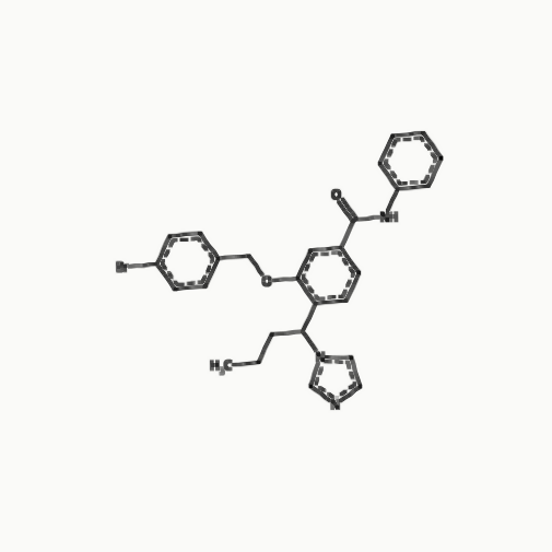 CCCC(c1ccc(C(=O)Nc2ccccc2)cc1OCc1ccc(Br)cc1)n1ccnc1